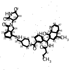 CCCC(=O)NC(c1cccc(C(=O)N2CCC(CNc3cccc4c3CN(C3CCC(=O)NC3=O)C4=O)CC2)c1)c1cc(C)c2cccnc2c1O